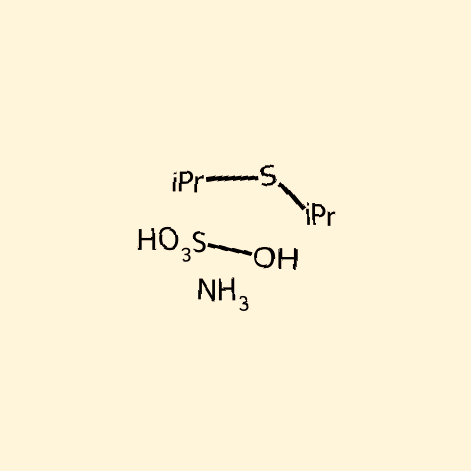 CC(C)SC(C)C.N.O=S(=O)(O)O